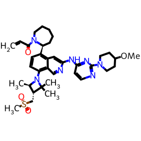 C=CC(=O)N1CCCCC[C@H]1c1ccc(N2[C@H](C)[C@@H](CS(C)(=O)=O)C2(C)C)c2cnc(Nc3ccnc(N4CCC(OC)CC4)n3)cc12